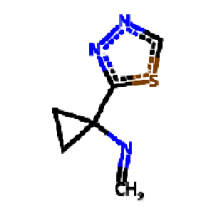 C=NC1(c2nncs2)CC1